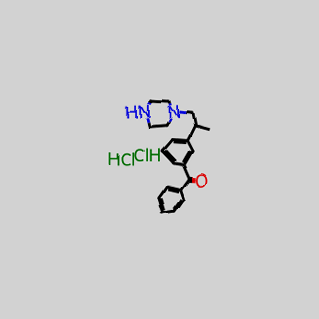 CC(CN1CCNCC1)c1cccc(C(=O)c2ccccc2)c1.Cl.Cl